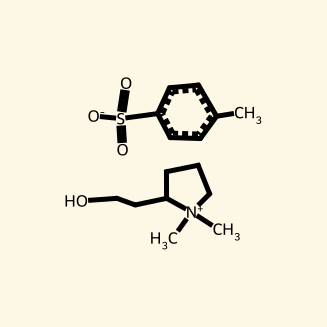 C[N+]1(C)CCCC1CCO.Cc1ccc(S(=O)(=O)[O-])cc1